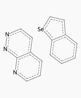 c1ccc2[se]ccc2c1.c1cnc2nnccc2c1